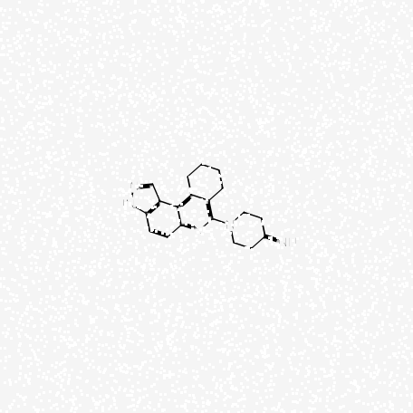 N=C1CCN(c2nc3ccc4[nH]ncc4c3c3c2CCCC3)CC1